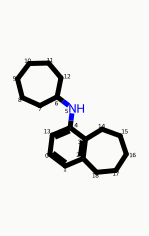 c1cc2c(c(NC3CCCCCC3)c1)CCCCC2